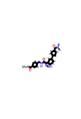 CNC(=O)c1ccc(CNC(=O)c2n[nH]c3ccc(-c4ccc(C(=O)N(C)C)cc4)cc23)cc1